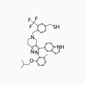 Cc1cccc(OCC(C)C)c1-n1nc2c(c1-c1ccc3[nH]ccc3c1)CN(Cc1ccc(CS)cc1C(F)(F)F)CC2